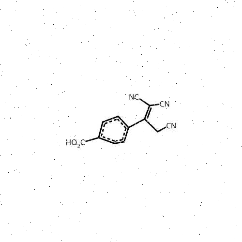 N#CCC(=C(C#N)C#N)c1ccc(C(=O)O)cc1